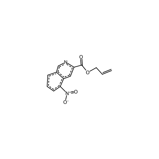 C=CCOC(=O)c1cc2c([N+](=O)[O-])cccc2cn1